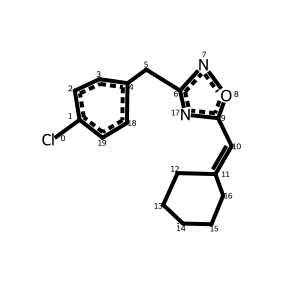 Clc1ccc(Cc2noc(C=C3CC[CH]CC3)n2)cc1